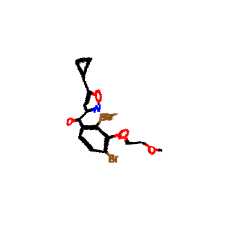 COCCOc1c(Br)ccc(C(=O)c2cc(C3CC3)on2)c1Br